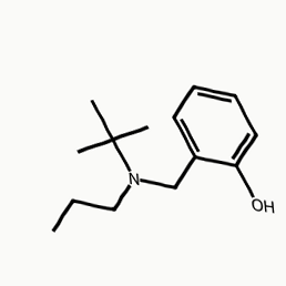 CCCN(Cc1ccccc1O)C(C)(C)C